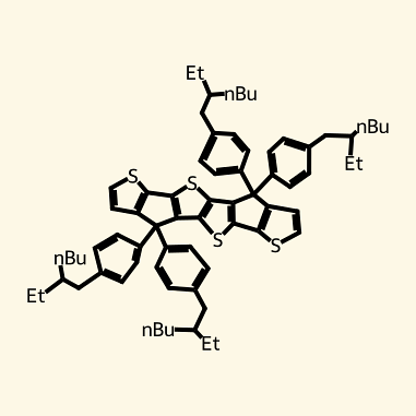 CCCCC(CC)Cc1ccc(C2(c3ccc(CC(CC)CCCC)cc3)c3ccsc3-c3sc4c5c(sc4c32)-c2sccc2C5(c2ccc(CC(CC)CCCC)cc2)c2ccc(CC(CC)CCCC)cc2)cc1